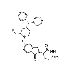 O=C1CCC(N2Cc3cc(CN4CCN(C(c5ccccc5)c5ccccc5)CC4CF)ccc3C2=O)C(=O)N1